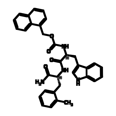 Cc1ccccc1C[C@@H](NC(=O)[C@H](Cc1c[nH]c2ccccc12)NC(=O)OCc1cccc2ccccc12)C(N)=O